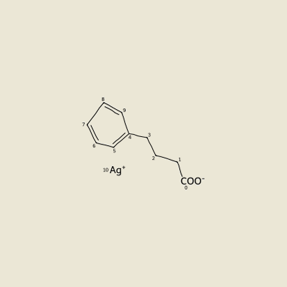 O=C([O-])CCCc1ccccc1.[Ag+]